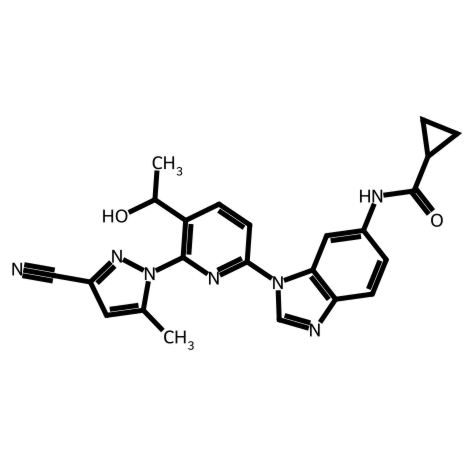 Cc1cc(C#N)nn1-c1nc(-n2cnc3ccc(NC(=O)C4CC4)cc32)ccc1C(C)O